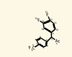 CC(=O)C(c1ccc(C(F)(F)F)cc1)c1ccc(F)c(F)c1